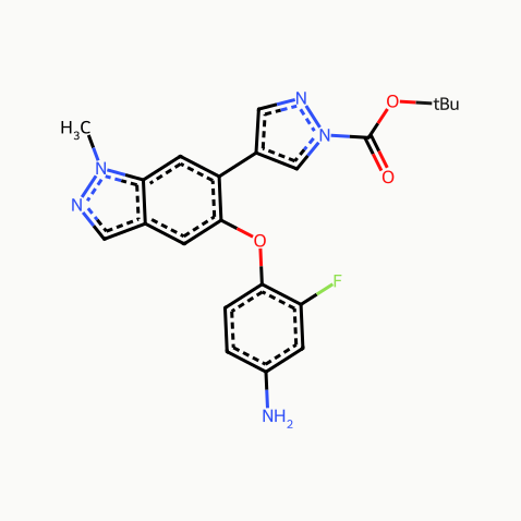 Cn1ncc2cc(Oc3ccc(N)cc3F)c(-c3cnn(C(=O)OC(C)(C)C)c3)cc21